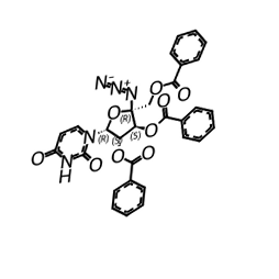 [N-]=[N+]=N[C@]1(COC(=O)c2ccccc2)O[C@@H](n2ccc(=O)[nH]c2=O)[C@@H](OC(=O)c2ccccc2)[C@@H]1OC(=O)c1ccccc1